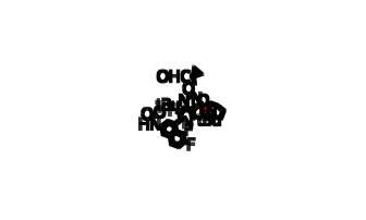 CC(C)(C)OC(=O)Nc1cc(-c2ncc3c(N4CC5CCC(C4)N5C(=O)OC(C)(C)C)nc(OCC4(C=O)CC4)nc3c2F)c2c(F)c(F)ccc2c1